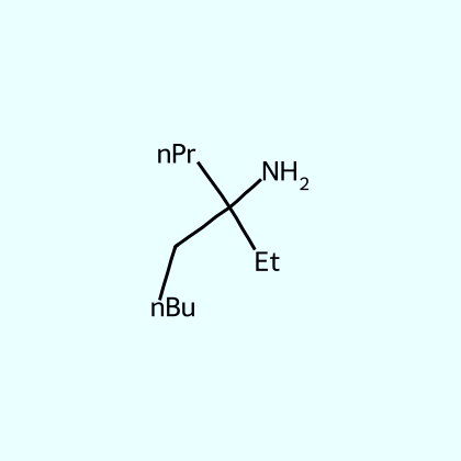 CCCCCC(N)(CC)CCC